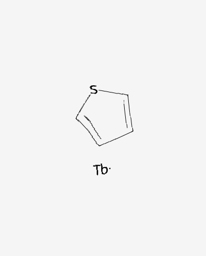 [Tb].c1ccsc1